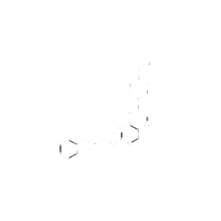 NCC1CCC(CNc2nc(NCCCc3ccccc3)ncc2[N+](=O)[O-])CC1